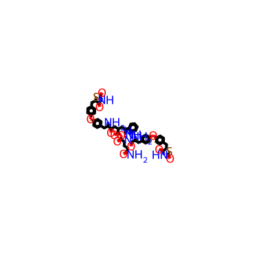 NC(=O)CCC(NC(=O)C(N)Cc1ccc(Oc2ccc(CC3SC(=O)NC3=O)cc2)cc1)C(=O)OC(=O)C(CC(=O)C(N)Cc1ccc(Oc2ccc(CC3SC(=O)NC3=O)cc2)cc1)Cc1c[nH]c2ccccc12